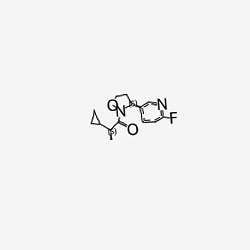 C[C@H](C(=O)N1OCC[C@H]1c1ccc(F)nc1)C1CC1